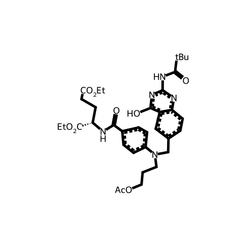 CCOC(=O)CC[C@H](NC(=O)c1ccc(N(CCCOC(C)=O)Cc2ccc3nc(NC(=O)C(C)(C)C)nc(O)c3c2)cc1)C(=O)OCC